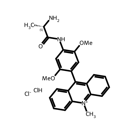 COc1cc(-c2c3ccccc3[n+](C)c3ccccc23)c(OC)cc1NC(=O)[C@H](C)N.Cl.[Cl-]